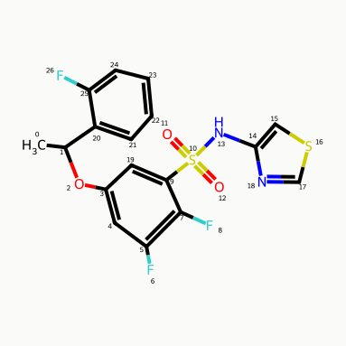 CC(Oc1cc(F)c(F)c(S(=O)(=O)Nc2cscn2)c1)c1ccccc1F